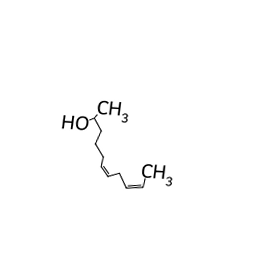 C/C=C\C/C=C\CCCC(C)O